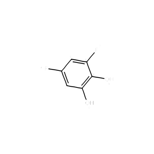 Oc1[c]c(F)cc(F)c1O